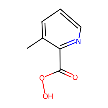 Cc1cccnc1C(=O)OO